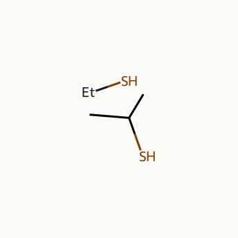 CC(C)S.CCS